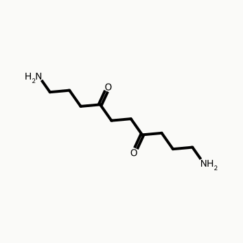 NCCCC(=O)CCC(=O)CCCN